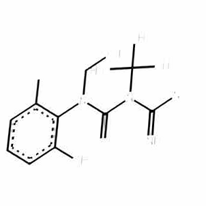 CCN(C(=O)N(C(=N)N)C(C)(C)C)c1c(C)cccc1Cl